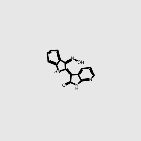 O=C1Nc2ncccc2/C1=C1/Nc2ccccc2/C1=N/O